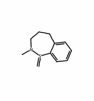 C=S1c2ccccc2CCCN1C